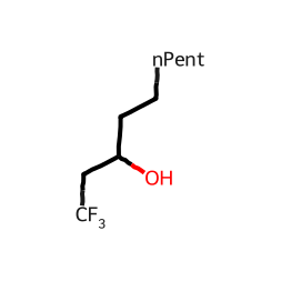 CCCCCCCC(O)CC(F)(F)F